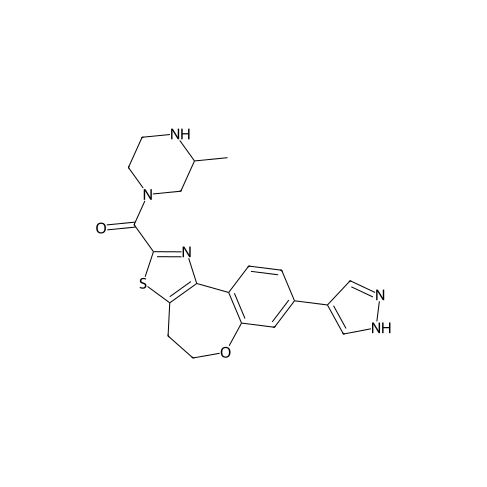 CC1CN(C(=O)c2nc3c(s2)CCOc2cc(-c4cn[nH]c4)ccc2-3)CCN1